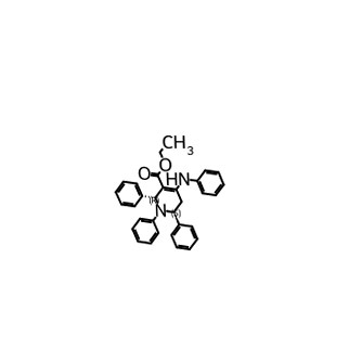 CCOC(=O)C1=C(Nc2ccccc2)C[C@@H](c2ccccc2)N(c2ccccc2)[C@@H]1c1ccccc1